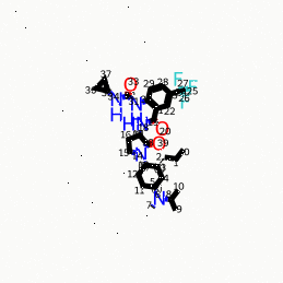 CCC[C@@H]1C[C@H](N(C)C(C)C)CC[C@@H]1N1CC[C@H](NC(=O)c2cc(C(F)(F)F)ccc2NC(=O)NC2CC2)C1=O